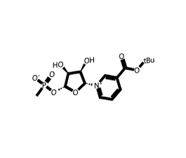 CC(C)(C)OC(=O)c1ccc[n+]([C@@H]2O[C@H](OP(C)(=O)[O-])[C@@H](O)[C@H]2O)c1